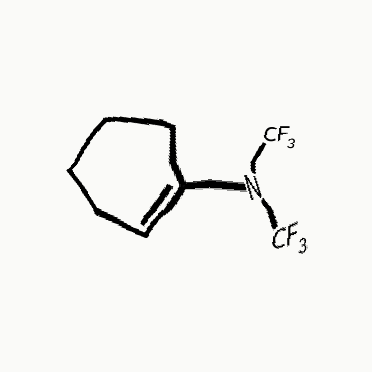 FC(F)(F)N(C1=CCCCC1)C(F)(F)F